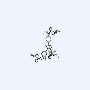 CC(C)OC(=O)Nc1ccc(-c2sc(C3CCC(NC(=O)OC(C)C)CC3)nc2C(F)(F)F)c(S(N)(=O)=O)c1